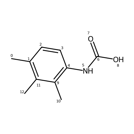 Cc1ccc(NC(=O)O)c(C)c1C